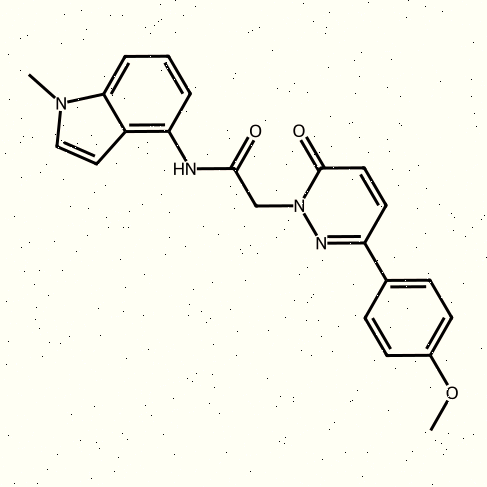 COc1ccc(-c2ccc(=O)n(CC(=O)Nc3cccc4c3ccn4C)n2)cc1